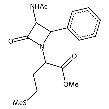 COC(=O)C(CCSC)N1C(=O)C(NC(C)=O)C1c1ccccc1